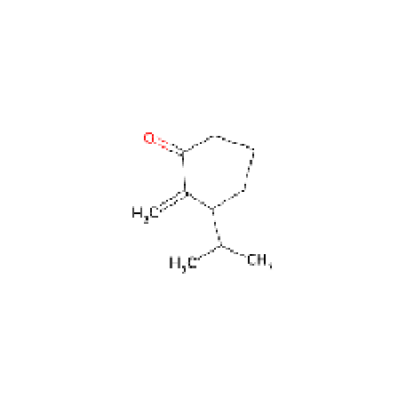 C=C1C(=O)CCCC1C(C)C